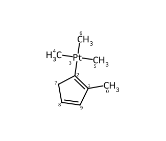 CC1=[C]([Pt]([CH3])([CH3])[CH3])CC=C1